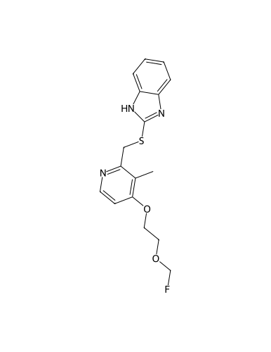 Cc1c(OCCOCF)ccnc1CSc1nc2ccccc2[nH]1